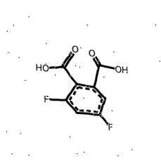 O=C(O)c1cc(F)cc(F)c1C(=O)O